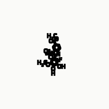 COC(=O)c1ccc2nc(-c3cc(OC)c(O)c(O)c3F)n(C3(C)COC3)c2c1